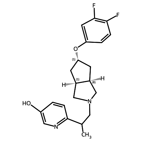 CC(CN1C[C@H]2C[C@H](Oc3ccc(F)c(F)c3)C[C@H]2C1)c1ccc(O)cn1